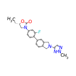 CC[C@H]1CN(c2ccc(-c3ccc4c(c3)CN(c3cnn(C)n3)C4)c(F)c2)C(=O)O1